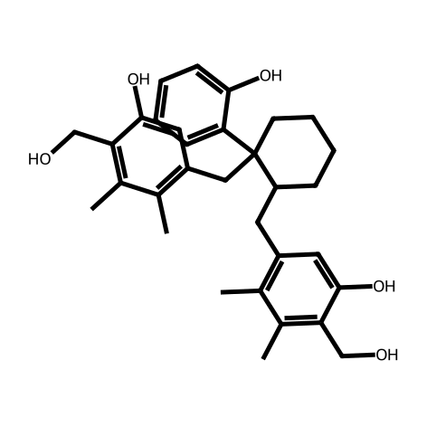 Cc1c(CC2CCCCC2(Cc2cc(O)c(CO)c(C)c2C)c2ccccc2O)cc(O)c(CO)c1C